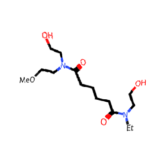 CCN(CCO)C(=O)CCCCC(=O)N(CCO)CCOC